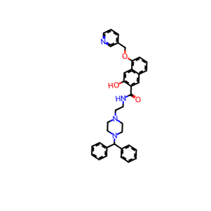 O=C(NCCN1CCN(C(c2ccccc2)c2ccccc2)CC1)c1cc2cccc(OCc3cccnc3)c2cc1O